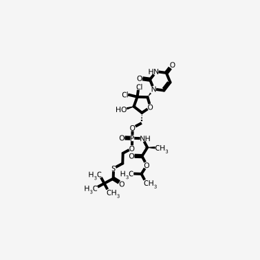 CC(C)OC(=O)[C@H](C)NP(=O)(OCCSC(=O)C(C)(C)C)OC[C@H]1O[C@@H](n2ccc(=O)[nH]c2=O)C(Cl)(Cl)[C@@H]1O